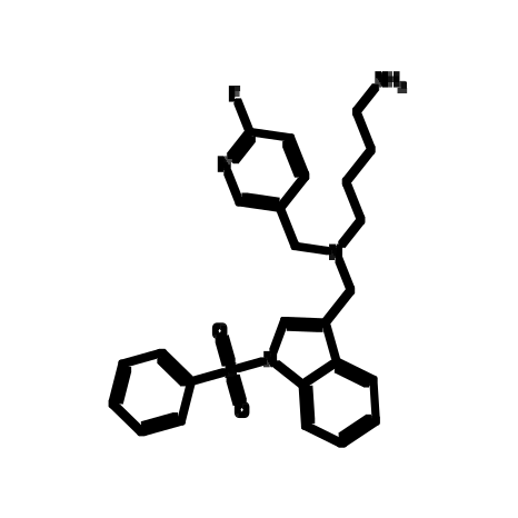 NCCCCN(Cc1ccc(F)nc1)Cc1cn(S(=O)(=O)c2ccccc2)c2ccccc12